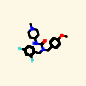 COc1ccc(CN(Cc2ccc(F)cc2F)C(=O)NC2CCN(C)CC2)cc1